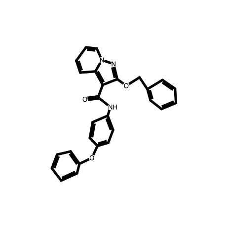 O=C(Nc1ccc(Oc2ccccc2)cc1)c1c(OCc2ccccc2)nn2ccccc12